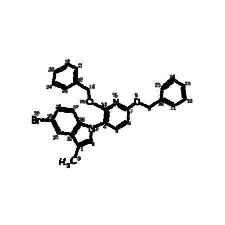 Cc1cn(-c2ccc(OCc3ccccc3)nc2OCc2ccccc2)c2ccc(Br)cc12